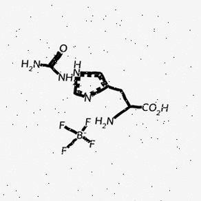 F[B-](F)(F)F.NC(Cc1c[nH]cn1)C(=O)O.NC(N)=O